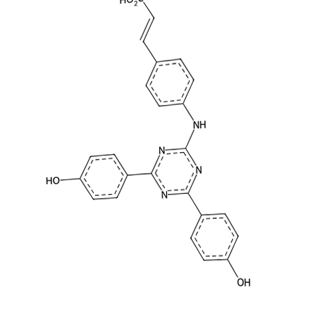 O=C(O)/C=C/c1ccc(Nc2nc(-c3ccc(O)cc3)nc(-c3ccc(O)cc3)n2)cc1